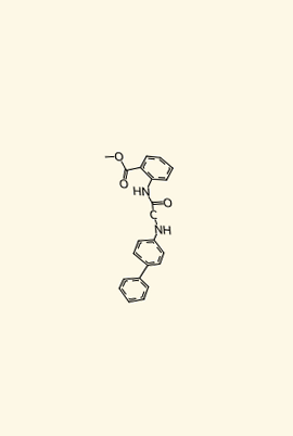 COC(=O)c1ccccc1NC(=O)CNc1ccc(-c2ccccc2)cc1